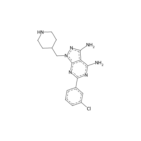 Nc1nc(-c2cccc(Cl)c2)nc2c1c(N)nn2CC1CCNCC1